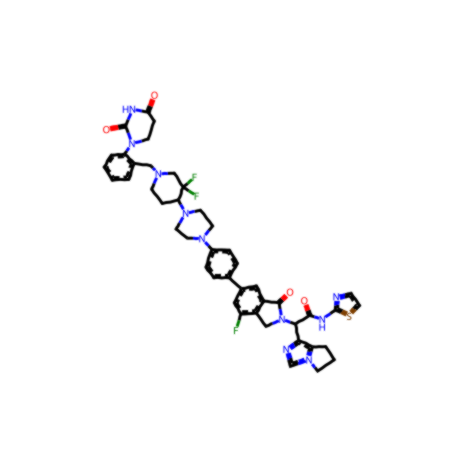 O=C1CCN(c2ccccc2CN2CCC(N3CCN(c4ccc(-c5cc(F)c6c(c5)C(=O)N(C(C(=O)Nc5nccs5)c5ncn7c5CCC7)C6)cc4)CC3)C(F)(F)C2)C(=O)N1